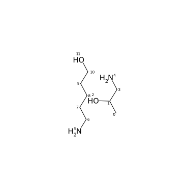 CC(O)CN.NCCCCCO